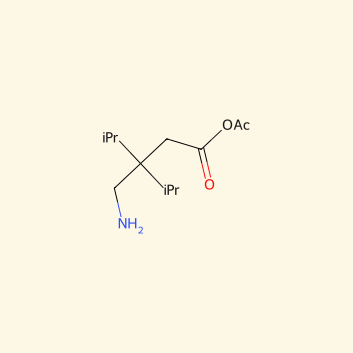 CC(=O)OC(=O)CC(CN)(C(C)C)C(C)C